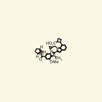 COc1cc(C(=O)N2C[C@H]3CC[C@@H]2[C@@H]3N)cc2nc(-c3cc4cccc(C5CCC5C(=O)O)c4n3CC3CC3)n(C)c12